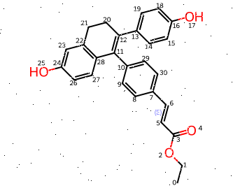 CCOC(=O)/C=C/c1ccc(C2=C(c3ccc(O)cc3)CCc3cc(O)ccc32)cc1